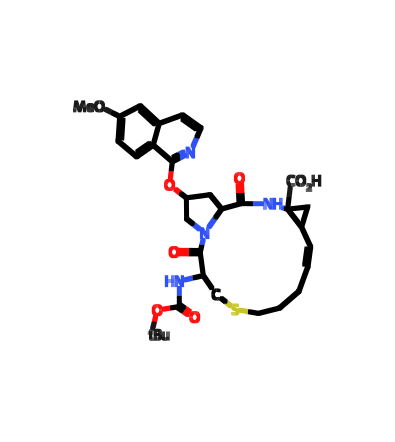 COc1ccc2c(OC3CC4C(=O)NC5(C(=O)O)CC5/C=C\CCCSCC(NC(=O)OC(C)(C)C)C(=O)N4C3)nccc2c1